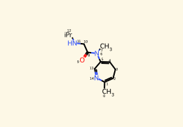 CC1=CCC=C(N(C)C(=O)CNC(C)C)C=N1